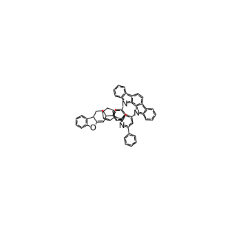 C1=CC(c2cc(-n3c4ccccc4c4ccc5c6ccccc6n(-c6cccc(C7C=C8Oc9ccccc9C8CC7)c6)c5c43)cc(-c3ccccc3)n2)=CCC1